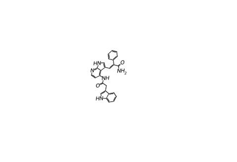 NC(=O)/C(=C/c1c[nH]c2nccc(NC(=O)Cc3c[nH]c4ccccc34)c12)c1ccccc1